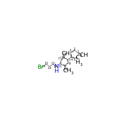 C#C/C=C\C(=C/C)c1cc(C)c(NCCCBr)cc1C